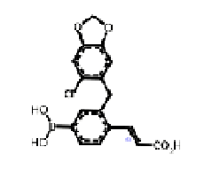 O=C(O)/C=C/c1ccc(B(O)O)cc1Cc1cc2c(cc1Cl)OCO2